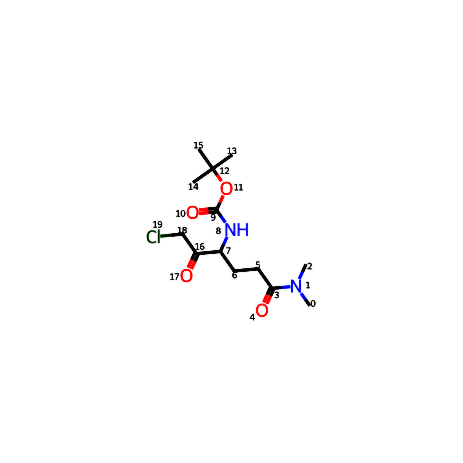 CN(C)C(=O)CCC(NC(=O)OC(C)(C)C)C(=O)CCl